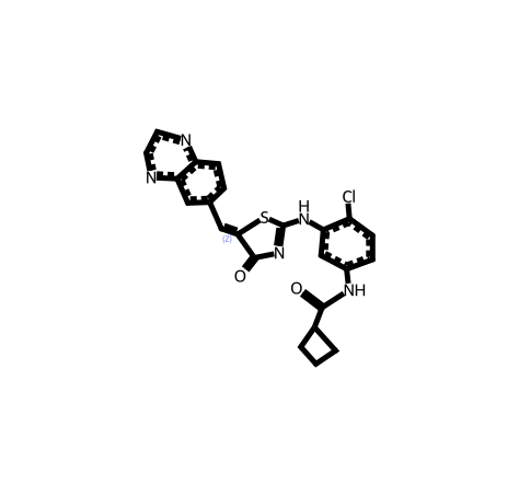 O=C1N=C(Nc2cc(NC(=O)C3CCC3)ccc2Cl)S/C1=C\c1ccc2nccnc2c1